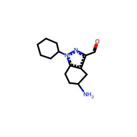 NC1CCc2c(c(C=O)nn2C2CCCCC2)C1